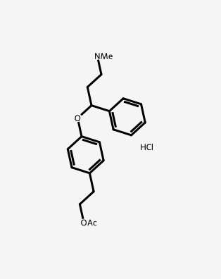 CNCCC(Oc1ccc(CCOC(C)=O)cc1)c1ccccc1.Cl